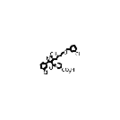 Cn1nc(-c2cccc(Cl)c2)c(C(=O)N2CC[C@H](C(=O)O)C2)c1CCCCOCc1cccc(Cl)c1